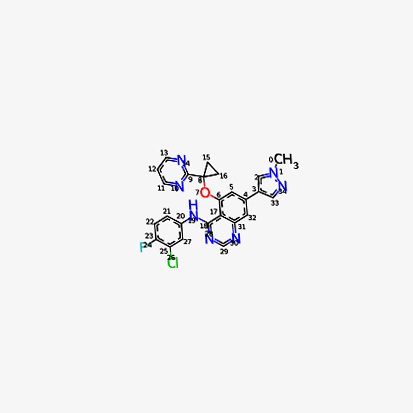 Cn1cc(-c2cc(OC3(c4ncccn4)CC3)c3c(Nc4ccc(F)c(Cl)c4)ncnc3c2)cn1